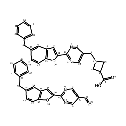 O=C(O)C1CN(Cc2cnc(-c3cc4cc(Cc5ccccc5)ccc4o3)nc2)C1.O=Cc1cnc(-c2cc3cc(Cc4ccccc4)ccc3o2)nc1